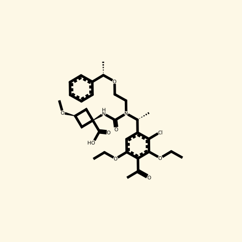 CCOc1cc([C@@H](C)N(CCO[C@@H](C)c2ccccc2)C(=O)N[C@]2(C(=O)O)C[C@H](OC)C2)c(Cl)c(OCC)c1C(C)=O